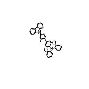 Cc1cc(-n2c3ccccc3c3ccccc32)ccc1-c1cc2c3c(c1)Oc1ccccc1B3c1ccccc1O2